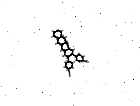 Fc1ccc(-c2nc3cc4cc5ccccc5cc4cc3nc2-c2ccc(F)cc2)cc1